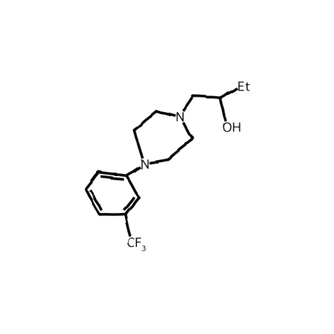 CCC(O)CN1CCN(c2cccc(C(F)(F)F)c2)CC1